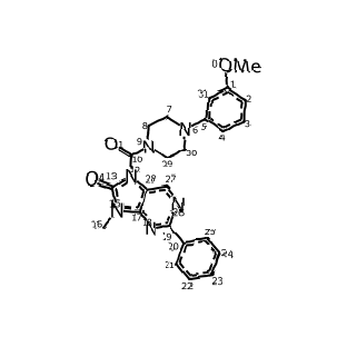 COc1cccc(N2CCN(C(=O)n3c(=O)n(C)c4nc(-c5ccccc5)ncc43)CC2)c1